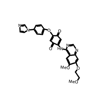 COCCOc1cc2ncnc(NC3=CC(=O)C(Oc4ccc(-n5ccnc5)cc4)=CC3=O)c2cc1OC